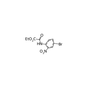 CCOC(=O)C(=O)Nc1ccc(Br)cc1[N+](=O)[O-]